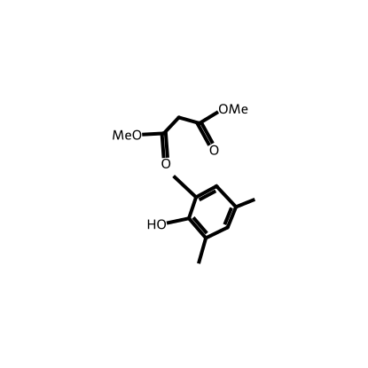 COC(=O)CC(=O)OC.Cc1cc(C)c(O)c(C)c1